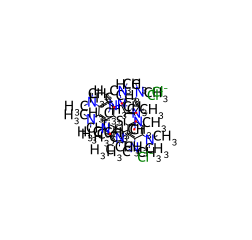 CC1=C(C)[C]([Ti+3])([Si](c2c(N(C)C)cc(N(C)C)c(N(C)C)c2N(C)C)(c2c(N(C)C)cc(N(C)C)c(N(C)C)c2N(C)C)c2c(N(C)C)cc(N(C)C)c(N(C)C)c2N(C)C)C(C)=C1C.[Cl-].[Cl-].[Cl-]